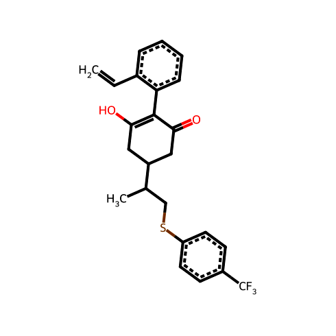 C=Cc1ccccc1C1=C(O)CC(C(C)CSc2ccc(C(F)(F)F)cc2)CC1=O